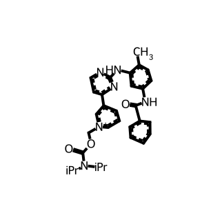 Cc1ccc(NC(=O)c2ccccc2)cc1Nc1nccc(-c2ccc[n+](COC(=O)N(C(C)C)C(C)C)c2)n1